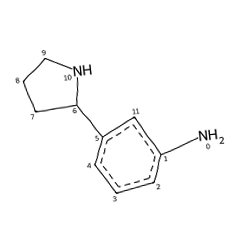 Nc1cccc(C2CCCN2)c1